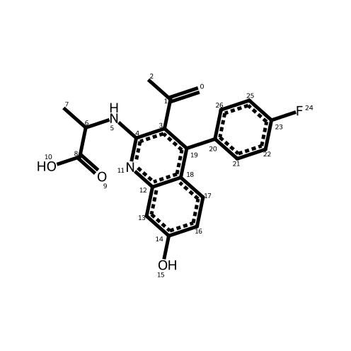 C=C(C)c1c(NC(C)C(=O)O)nc2cc(O)ccc2c1-c1ccc(F)cc1